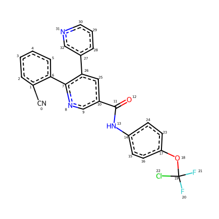 N#Cc1ccccc1-c1ncc(C(=O)Nc2ccc(OC(F)(F)Cl)cc2)cc1-c1cccnc1